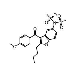 CCCCc1oc2ccc(N(S(C)(=O)=O)S(C)(=O)=O)cc2c1C(=O)c1ccc(OC)cc1